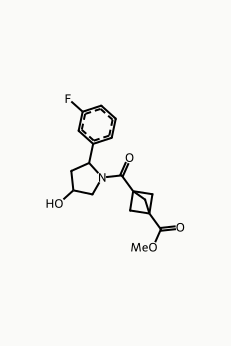 COC(=O)C12CC(C(=O)N3CC(O)CC3c3cccc(F)c3)(C1)C2